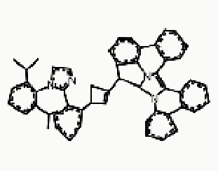 CC(C)c1cccc(C(C)C)c1-n1ccnc1-c1ccccc1C1C=C(C2c3cccc4c3N3C(=C5c6ccccc6-c6ccccc6N5C23)c2ccccc2-4)C1